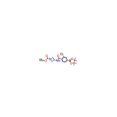 CCc1cc(B2OC(C)(C)C(C)(C)O2)ccc1C(=O)NC1CN(C(=O)OC(C)(C)C)C1